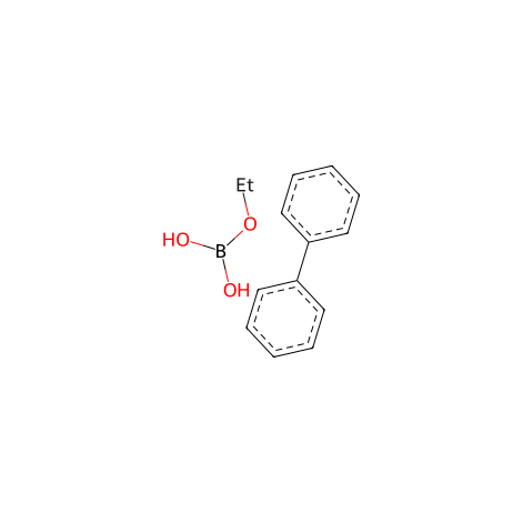 CCOB(O)O.c1ccc(-c2ccccc2)cc1